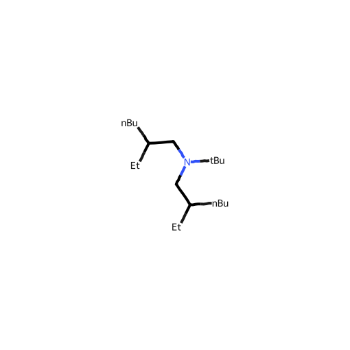 CCCCC(CC)CN(CC(CC)CCCC)C(C)(C)C